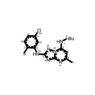 CCCCNc1cc(C)nc2nc(Nc3cc(Cl)ccc3C)nn12